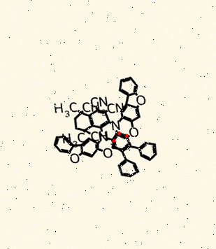 CC1(C)CCC(C)(C)c2c(N3c4ccc(-c5ccccc5)cc4Oc4cc5oc6ccccc6c5cc43)c(N3c4ccc(-c5ccccc5)cc4Oc4cc5oc6ccccc6c5cc43)c(C#N)c(C#N)c21